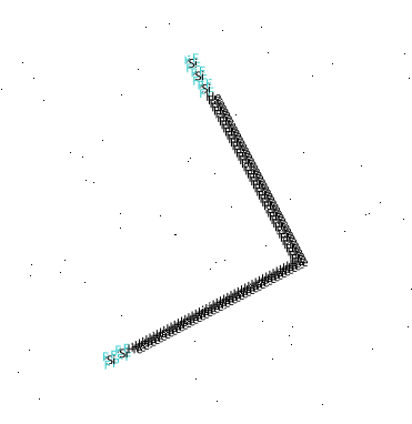 F[Si](F)(F)F.F[Si](F)(F)F.F[Si](F)(F)F.F[Si](F)(F)F.F[Si](F)(F)F.[He].[He].[He].[He].[He].[He].[He].[He].[He].[He].[He].[He].[He].[He].[He].[He].[He].[He].[He].[He].[He].[He].[He].[He].[He].[He].[He].[He].[He].[He].[He].[He].[He].[He].[He].[He].[He].[He].[He].[He].[He].[He].[He].[He].[He].[He].[He].[He].[He].[He].[He].[He].[He].[He].[He].[He].[He].[He].[He].[He].[He].[He].[He].[He].[He].[He].[He].[He].[He].[He].[He].[He].[He].[He].[He].[He].[He].[He].[He].[He].[He].[He].[He].[He].[He].[He].[He].[He].[He].[He].[He].[He].[He].[He].[He]